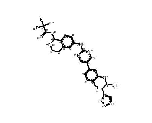 C[C@@H](Cn1cnnn1)Oc1cc(-c2cnc(Nc3ccc4c(c3)CCNC4OC(=O)C(F)(F)F)nc2)ccc1Cl